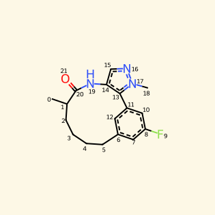 CC1CCCCc2cc(F)cc(c2)-c2c(cnn2C)NC1=O